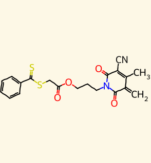 C=C1C(=O)N(CCCOC(=O)CSC(=S)c2ccccc2)C(=O)C(C#N)=C1C